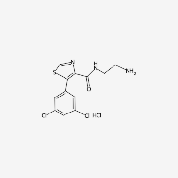 Cl.NCCNC(=O)c1ncsc1-c1cc(Cl)cc(Cl)c1